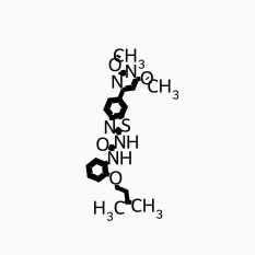 COc1cc(-c2ccc3nc(NC(=O)Nc4ccccc4OCCC(C)C)sc3c2)nc(OC)n1